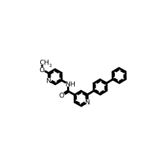 COc1ccc(NC(=O)c2ccnc(-c3ccc(-c4ccccc4)cc3)c2)cn1